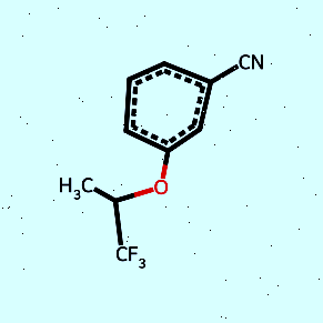 CC(Oc1cccc(C#N)c1)C(F)(F)F